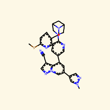 CSc1ccc(CN2C3CC2CN(c2ccc(-c4cc(-c5cnn(C)c5)cn5ncc(C#N)c45)cn2)C3)cn1